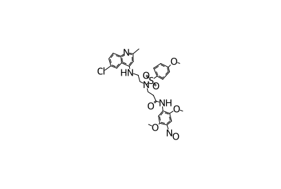 COc1ccc(S(=O)(=O)N(CCNc2cc(C)nc3ccc(Cl)cc23)CCC(=O)Nc2cc(OC)c(N=O)cc2OC)cc1